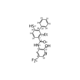 CCc1c(C(=O)Nc2cc(C(F)(F)F)cnc2O)ccc(S)c1-c1ccccc1